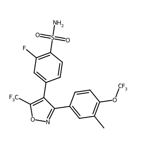 Cc1cc(-c2noc(C(F)(F)F)c2-c2ccc(S(N)(=O)=O)c(F)c2)ccc1OC(F)(F)F